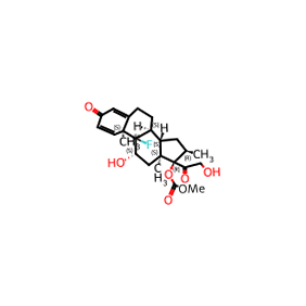 COC(=O)O[C@]1(C(=O)CO)[C@H](C)C[C@H]2[C@@H]3CCC4=CC(=O)C=C[C@]4(C)[C@@]3(F)[C@@H](O)C[C@@]21C